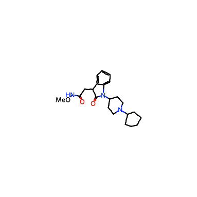 CONC(=O)CC1C(=O)N(C2CCN(C3CCCCC3)CC2)c2ccccc21